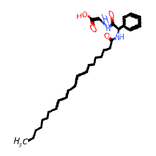 CCCCCCCCCCCCCCCCCCCCC(=O)NC(C(=O)NCC(=O)O)c1ccccc1